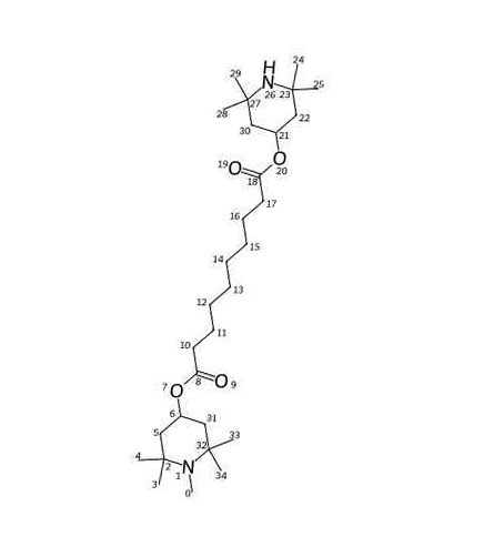 CN1C(C)(C)CC(OC(=O)CCCCCCCCC(=O)OC2CC(C)(C)NC(C)(C)C2)CC1(C)C